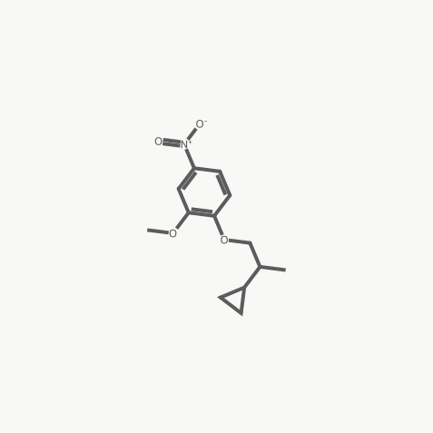 COc1cc([N+](=O)[O-])ccc1OCC(C)C1CC1